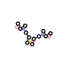 O=S12(c3ccccc3-c3cc(-c4ccc(-n5c6ccccc6c6c7c(ccc65)oc5ccccc57)cc4)ccc31)c1ccccc1-c1cc(-c3ccc(-n4c5ccccc5c5c6c(ccc54)oc4ccccc46)cc3)ccc12